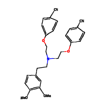 COc1ccc(CCN(CCOc2ccc(C#N)cc2)CCOc2ccc(C#N)cc2)cc1OC